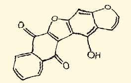 O=C1c2ccccc2C(=O)c2c1oc1cc3occc3c(O)c21